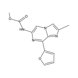 COC(=O)Nc1cn2cc(C)nc2c(-c2ccco2)n1